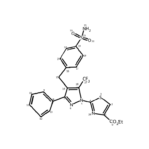 CCOC(=O)c1csc(-n2nc(-c3ccccc3)c(Cc3ccc(S(N)(=O)=O)cc3)c2C(F)(F)F)n1